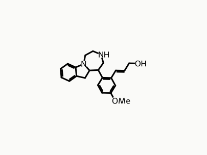 COc1ccc(C2CNCCN3c4ccccc4CC23)c(C=CCO)c1